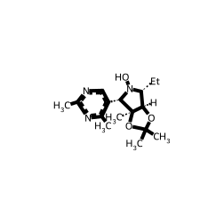 CC[C@@H]1[C@H]2OC(C)(C)O[C@@]2(C)[C@H](c2cnc(C)nc2C)N1O